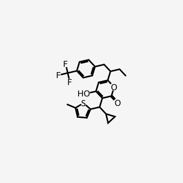 CCC(Cc1ccc(C(F)(F)F)cc1)c1cc(O)c(C(c2ccc(C)s2)C2CC2)c(=O)o1